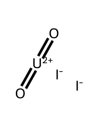 [I-].[I-].[O]=[U+2]=[O]